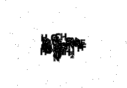 CC(C)(C)COc1cc(C(=O)Nc2cc(C(F)(F)F)ccn2)ccc1C1=NC([C@@H]2CC[C@H]3CCC(=O)N3C2)=C2C=NC=C[N+]12N